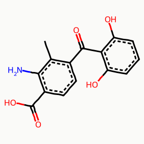 Cc1c(C(=O)c2c(O)cccc2O)ccc(C(=O)O)c1N